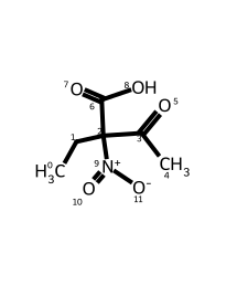 CCC(C(C)=O)(C(=O)O)[N+](=O)[O-]